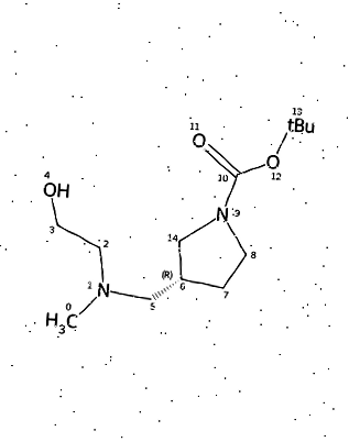 CN(CCO)C[C@H]1CCN(C(=O)OC(C)(C)C)C1